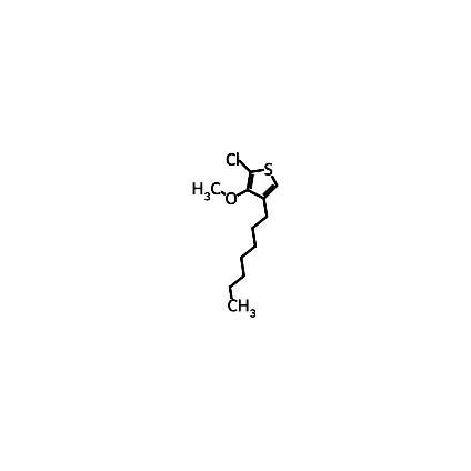 CCCCCCCc1csc(Cl)c1OC